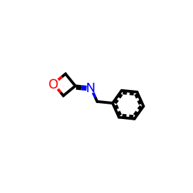 c1ccc(CN=C2COC2)cc1